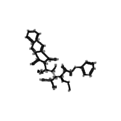 CCC[C@H](C(=O)NCc1cccnc1)[C@H](C(=O)O)C(C)C(N)N1C(=O)c2cc3ccccc3cc2C1=O